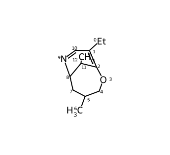 CCC1=C2OCC(C)CC(N=C1)C2C